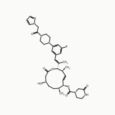 C/C(=C\c1cc(F)cc(N2CCN(C(=O)Cn3cccn3)CC2)c1)[C@H]1OC(=O)C[C@H](O)CC[C@H](C)[C@H](OC(=O)N2CCNC(=O)C2)/C=C/[C@@H]1C